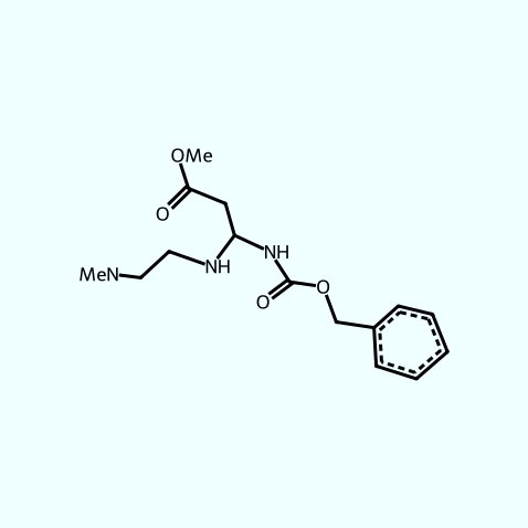 CNCCNC(CC(=O)OC)NC(=O)OCc1ccccc1